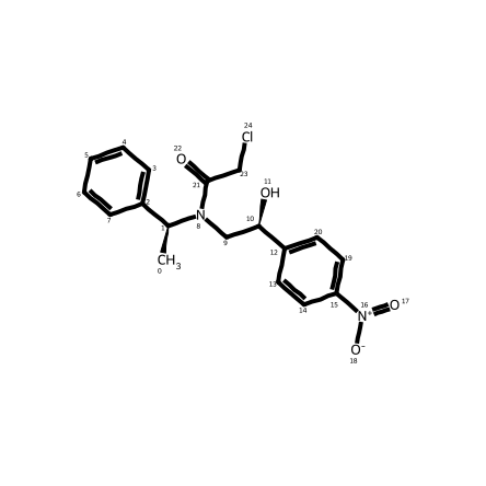 C[C@@H](c1ccccc1)N(C[C@@H](O)c1ccc([N+](=O)[O-])cc1)C(=O)CCl